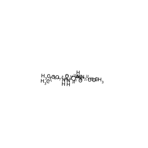 CCC(C)OCOCCNC(=O)Nc1ccc(NC(=O)NCCOCOC)cc1